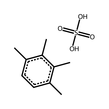 Cc1ccc(C)c(C)c1C.O=S(=O)(O)O